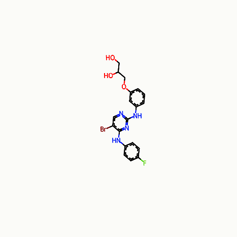 OCC(O)COc1cccc(Nc2ncc(Br)c(Nc3ccc(F)cc3)n2)c1